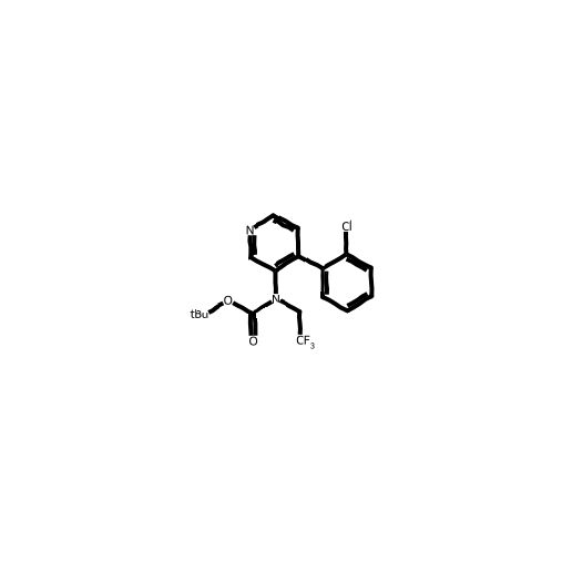 CC(C)(C)OC(=O)N(CC(F)(F)F)c1cnccc1-c1ccccc1Cl